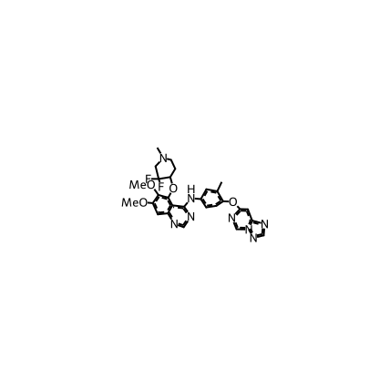 COc1cc2ncnc(Nc3ccc(Oc4cc5ncnn5cn4)c(C)c3)c2c(OC2CCN(C)CC2(F)F)c1OC